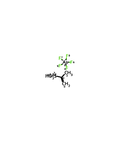 C=C(C)S(=O)(=O)O.F[As](F)(F)(F)F.[LiH]